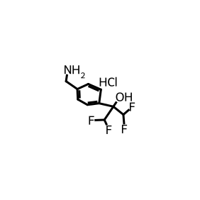 Cl.NCc1ccc(C(O)(C(F)F)C(F)F)cc1